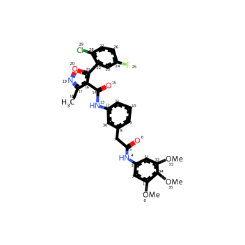 COc1cc(NC(=O)Cc2cccc(NC(=O)c3c(C)noc3-c3cc(F)ccc3Cl)c2)cc(OC)c1OC